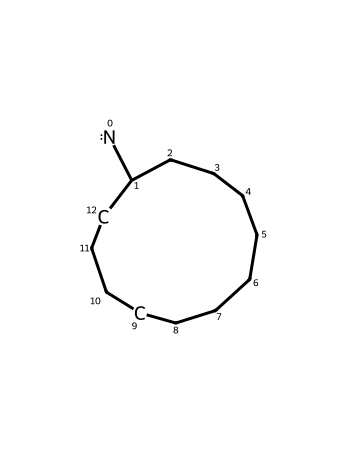 [N]C1CCCCCCCCCCC1